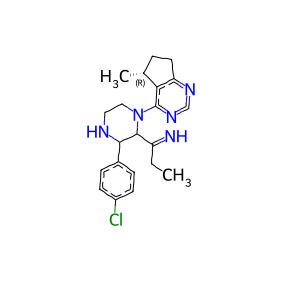 CCC(=N)C1C(c2ccc(Cl)cc2)NCCN1c1ncnc2c1[C@H](C)CC2